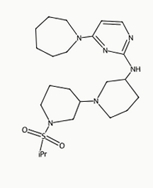 CC(C)S(=O)(=O)N1CCCC(N2CCCC(Nc3nccc(N4CCCCCC4)n3)C2)C1